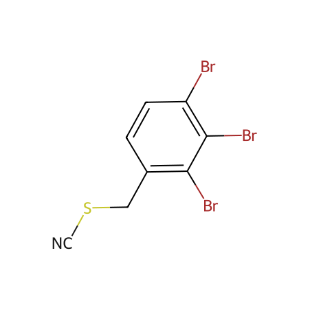 N#CSCc1ccc(Br)c(Br)c1Br